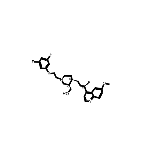 COc1ccc2nccc([C@H](F)CC[C@@H]3CCN(CCSc4cc(F)cc(F)c4)C[C@@H]3CO)c2c1